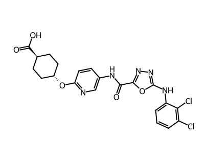 O=C(Nc1ccc(O[C@H]2CC[C@H](C(=O)O)CC2)nc1)c1nnc(Nc2cccc(Cl)c2Cl)o1